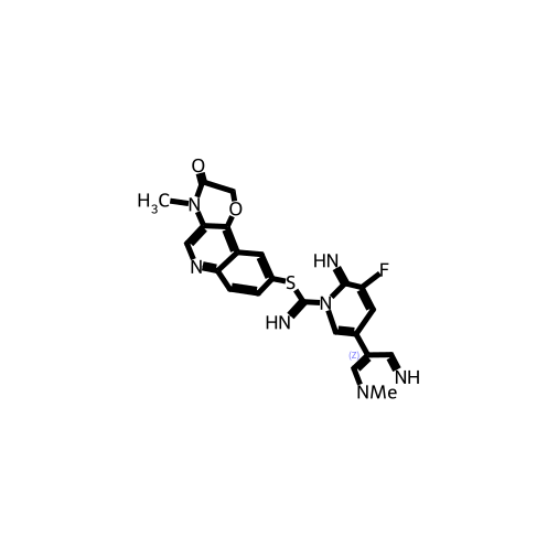 CN/C=C(\C=N)c1cc(F)c(=N)n(C(=N)Sc2ccc3ncc4c(c3c2)OCC(=O)N4C)c1